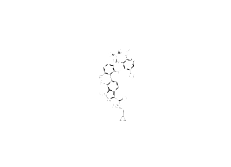 COc1ncc(Cl)cc1N(c1ccc(F)c(-c2ccc3c(C(=O)NCC4CC4)n[nH]c3c2F)c1F)[SH](=O)=O